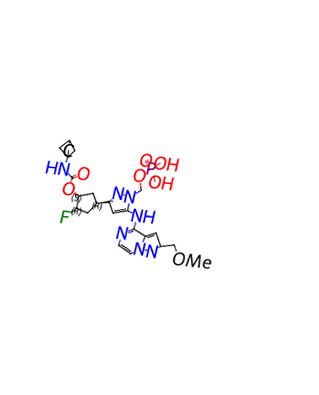 COCc1cc2c(Nc3cc([C@H]4C[C@@H](F)[C@@H](OC(=O)NC56CC(C5)C6)C4)nn3COP(=O)(O)O)nccn2n1